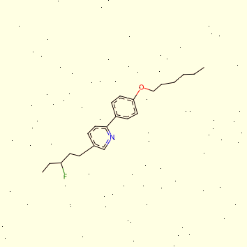 CCCCCCOc1ccc(-c2ccc(CCC(F)CC)cn2)cc1